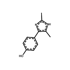 Cc1nc(-c2ccc(O)cc2)c(C)[nH]1